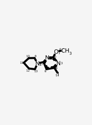 COc1nc(I)cc(N2CCCCC2)n1